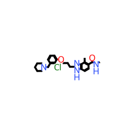 CNC(=O)c1ccc2[nH]c(CCCOc3cccc(CN4CCCCC4)c3Cl)nc2c1C